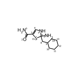 NC(=O)C1=CNC(N)(CC2CCCCC2)S1